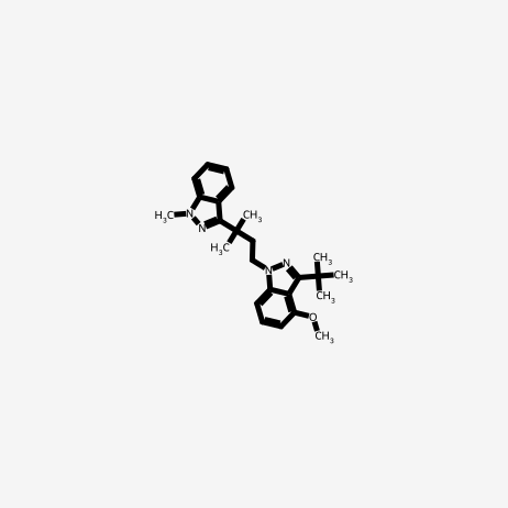 COc1cccc2c1c(C(C)(C)C)nn2CCC(C)(C)c1nn(C)c2ccccc12